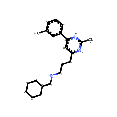 N#Cc1nc(CCCNCC2CCCCC2)cc(-c2cccc(C(F)(F)F)c2)n1